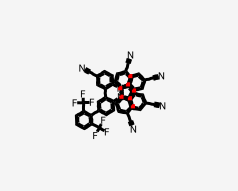 N#Cc1ccc(-n2c3ccc(C#N)cc3c3cc(C#N)ccc32)c(-c2cc(-c3c(C(F)(F)F)cccc3C(F)(F)F)ccc2-n2c3ccc(C#N)cc3c3cc(C#N)ccc32)c1